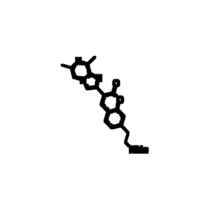 CNCCc1ccc2cc(-c3cn4cc(C)nc(C)c4n3)c(=O)oc2c1